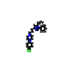 CCCc1cc(CCCN2CCN(c3ccc(Cl)cc3)CC2)nn1-c1ccccc1